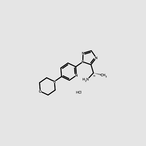 C[C@H](N)c1ncnn1-c1ccc(N2CCOCC2)cn1.Cl